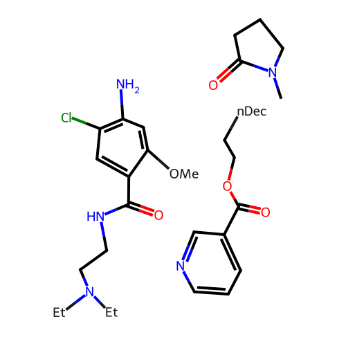 CCCCCCCCCCCCOC(=O)c1cccnc1.CCN(CC)CCNC(=O)c1cc(Cl)c(N)cc1OC.CN1CCCC1=O